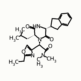 CCc1nc([C@H](C(=O)N(C)C)N2C(=O)[C@@H](C3Cc4ccccc4C3)NC(=O)[C@H]2CC(C)C)co1